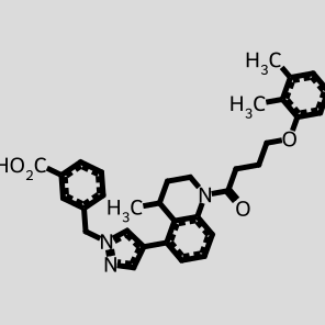 Cc1cccc(OCCCC(=O)N2CCC(C)c3c(-c4cnn(Cc5cccc(C(=O)O)c5)c4)cccc32)c1C